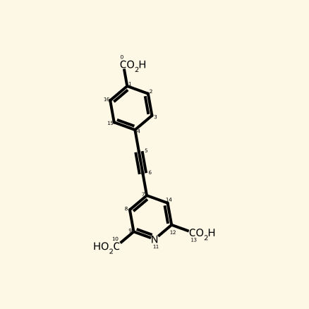 O=C(O)c1ccc(C#Cc2cc(C(=O)O)nc(C(=O)O)c2)cc1